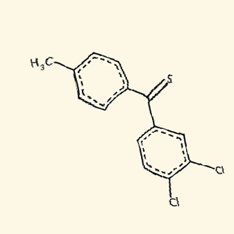 Cc1ccc(C(=S)c2ccc(Cl)c(Cl)c2)cc1